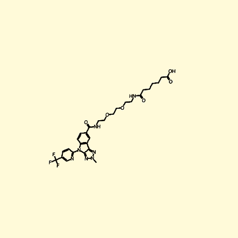 Cn1nc2c3cc(C(=O)NCCOCCOCCNC(=O)CCCCCC(=O)O)ccc3n(-c3ccc(C(F)(F)F)cn3)c2n1